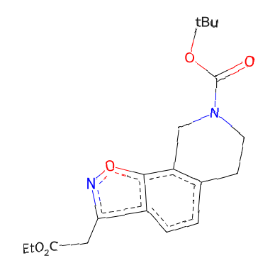 CCOC(=O)Cc1noc2c3c(ccc12)CCN(C(=O)OC(C)(C)C)C3